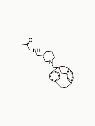 CC(=O)CNCC1CCCN(CCCc2cc3ccc2CCc2ccc(cc2)CC3)C1